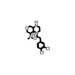 CN(C)C1COCC2NCCN(C(=O)Cc3ccc(Cl)c(Cl)c3)[C@@H]21